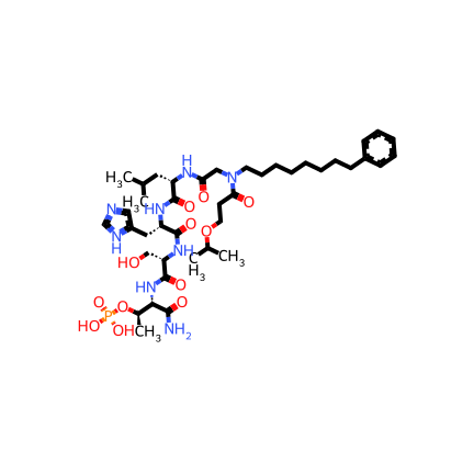 CC(C)C[C@H](NC(=O)CN(CCCCCCCCc1ccccc1)C(=O)CCOC(C)C)C(=O)N[C@@H](Cc1cnc[nH]1)C(=O)N[C@@H](CO)C(=O)N[C@H](C(N)=O)[C@@H](C)OP(=O)(O)O